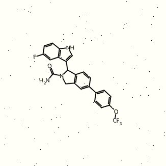 NC(=O)N1Cc2cc(-c3ccc(OC(F)(F)F)cc3)ccc2C1c1c[nH]c2ccc(F)cc12